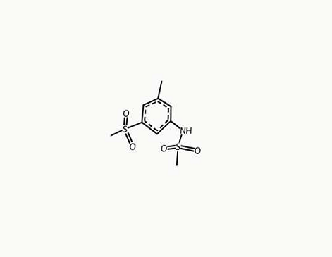 Cc1cc(NS(C)(=O)=O)cc(S(C)(=O)=O)c1